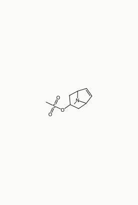 CN1C2C=CC1CC(OS(C)(=O)=O)C2